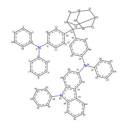 c1ccc(N(c2ccccc2)c2ccc(C3(c4ccc(N(c5ccccc5)c5ccc6c(c5)c5ccccc5n6-c5ccccc5)cc4)C4CC5CC(C4)CC3C5)cc2)cc1